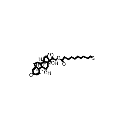 C[C@@H]1C[C@H]2[C@@H]3CCC4=CC(=O)C=C[C@]4(C)[C@@]3(F)[C@@H](O)C[C@]2(C)[C@@]1(O)C(=O)COC(=O)CCCCCCCCC=S